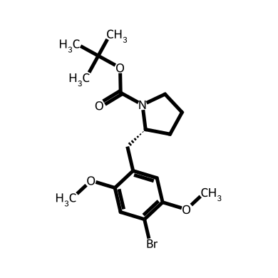 COc1cc(C[C@H]2CCCN2C(=O)OC(C)(C)C)c(OC)cc1Br